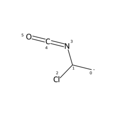 [CH2]C(Cl)N=C=O